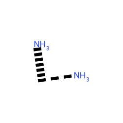 C=C.C=C.C=C.C=C.C=C.C=C.C=C.C=C.C=C.N.N